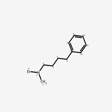 CCN(C)CCCCc1ccccc1